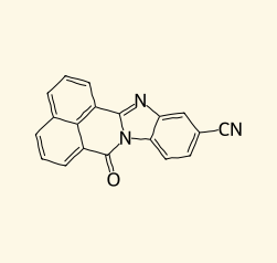 N#Cc1ccc2c(c1)nc1c3cccc4cccc(c(=O)n21)c43